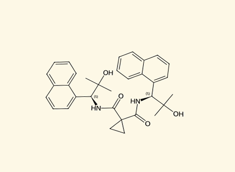 CC(C)(O)[C@@H](NC(=O)C1(C(=O)N[C@@H](c2cccc3ccccc23)C(C)(C)O)CC1)c1cccc2ccccc12